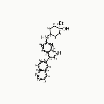 CC[C@]1(O)CC[C@@H](Nc2ncc3c(-c4ccc5nnccc5c4)c[nH]c3n2)CC1